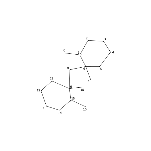 C[C]1CCCCC1(C)CC1(C)CCCC[C]1C